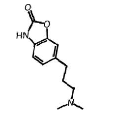 CN(C)CCCc1ccc2[nH]c(=O)oc2c1